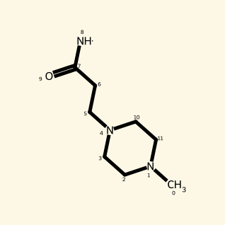 CN1CCN(CCC([NH])=O)CC1